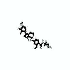 CCc1cc(Nc2nccn3c(-c4ccc(OC)c(F)c4F)cnc23)ccc1C(=O)NC(C)(C)CN